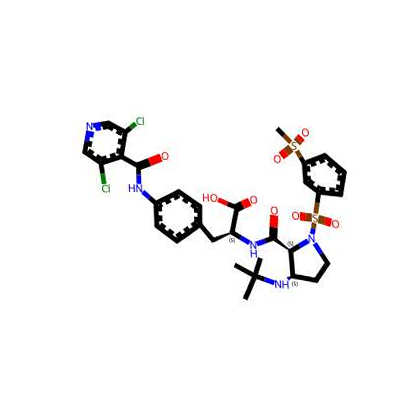 CC(C)(C)N[C@H]1CCN(S(=O)(=O)c2cccc(S(C)(=O)=O)c2)[C@@H]1C(=O)N[C@@H](Cc1ccc(NC(=O)c2c(Cl)cncc2Cl)cc1)C(=O)O